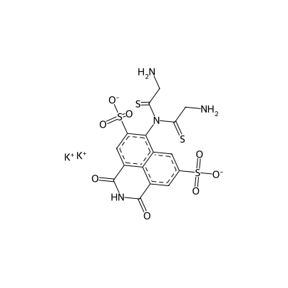 NCC(=S)N(C(=S)CN)c1c(S(=O)(=O)[O-])cc2c3c(cc(S(=O)(=O)[O-])cc13)C(=O)NC2=O.[K+].[K+]